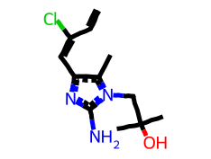 C=C/C(Cl)=C\c1nc(N)n(CC(C)(C)O)c1C